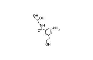 Nc1cc(CCO)cc(C(=O)NCC(O)CO)c1